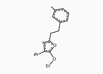 CCOc1oc(CCc2cccc(C)c2)nc1C(C)C